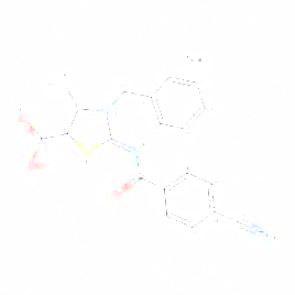 CC1C(C(=O)O)SC(=NC(=O)c2ccc(C#N)cc2)N1Cc1ccccc1.[NaH]